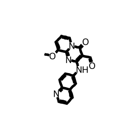 COc1cccn2c(=O)c(C=O)c(Nc3ccc4ncccc4c3)nc12